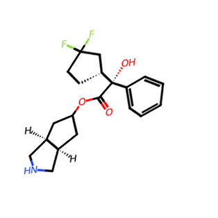 O=C(OC1C[C@H]2CNC[C@H]2C1)[C@](O)(c1ccccc1)[C@@H]1CCC(F)(F)C1